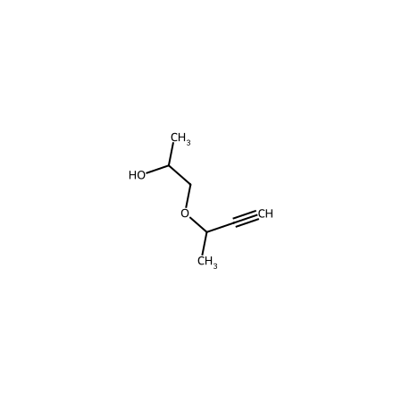 C#CC(C)OCC(C)O